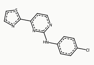 Clc1ccc(Nc2nccc(-c3nccs3)n2)cc1